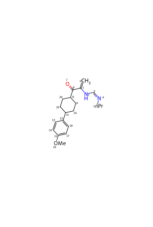 C=C(N/C=N\CCC)C(=O)C1CCC(c2ccc(OC)cc2)CC1